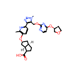 Cc1nc(-c2nnn(C)c2COc2nccc(O[C@H]3CCOC3)n2)ccc1O[C@H]1C[C@H]2CCC(C(=O)O)[C@H]2C1